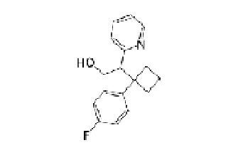 OCC(c1ccccn1)C1(c2ccc(F)cc2)CCC1